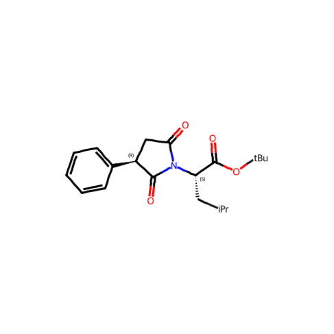 CC(C)C[C@@H](C(=O)OC(C)(C)C)N1C(=O)C[C@H](c2ccccc2)C1=O